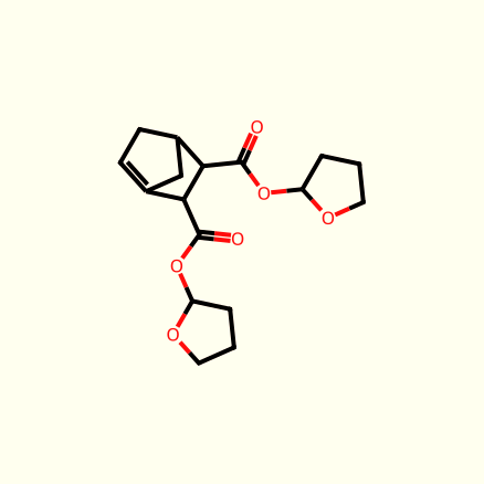 O=C(OC1CCCO1)C1C2=CCC(C2)C1C(=O)OC1CCCO1